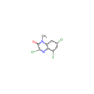 Cn1c(=O)c(Cl)nc2c(F)cc(Cl)cc21